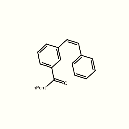 CCCCCC(=O)c1cccc(/C=C\c2ccccc2)c1